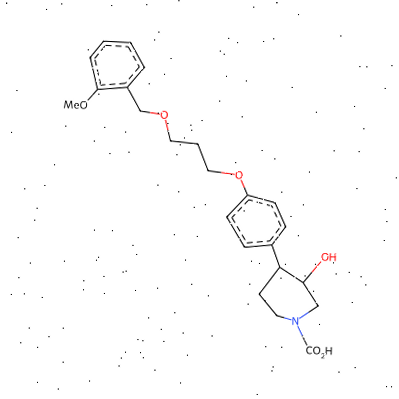 COc1ccccc1COCCCOc1ccc(C2CCN(C(=O)O)CC2O)cc1